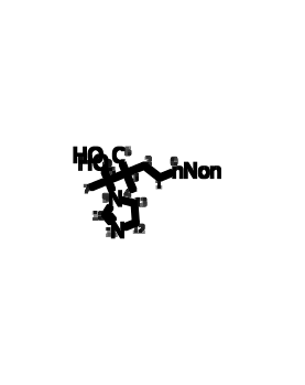 CCCCCCCCCCCC(C)(C(=O)O)C(C)(O)N1C=NCC1